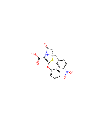 O=C(O)C1=C(Oc2ccccc2)SC2(Cc3ccc([N+](=O)[O-])cc3)CC(=O)N12